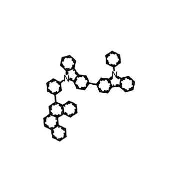 c1ccc(-n2c3ccccc3c3ccc(-c4ccc5c(c4)c4ccccc4n5-c4cccc(-c5cc6ccc7ccccc7c6c6ccccc56)c4)cc32)cc1